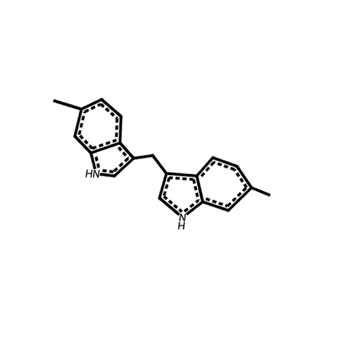 Cc1ccc2c(Cc3c[nH]c4cc(C)ccc34)c[nH]c2c1